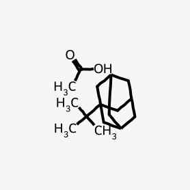 CC(=O)O.CC(C)(C)C12CC3CC(CC(C3)C1)C2